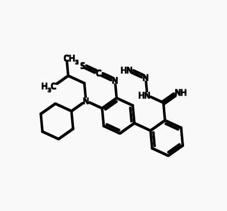 CC(C)CN(c1ccc(-c2ccccc2C(=N)NN=N)cc1N=C=S)C1CCCCC1